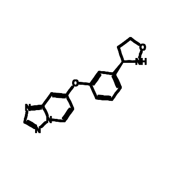 c1cc(Oc2ccn3ncnc3c2)cc([C@H]2CCON2)c1